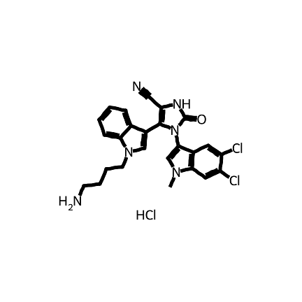 Cl.Cn1cc(-n2c(-c3cn(CCCCN)c4ccccc34)c(C#N)[nH]c2=O)c2cc(Cl)c(Cl)cc21